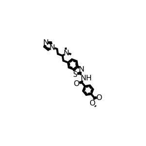 COC(=O)c1ccc(C(=O)Nc2nc3ccc(CC(CCn4ccnc4)N(C)C)cc3s2)cc1